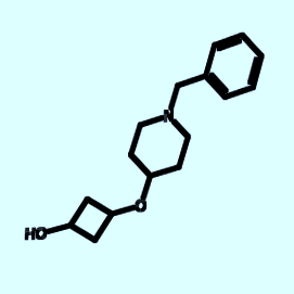 OC1CC(OC2CCN(Cc3ccccc3)CC2)C1